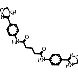 O=C(CCCC(=O)Nc1ccc(C2=NOCN2)cc1)Nc1ccc(C2=NOCN2)cc1